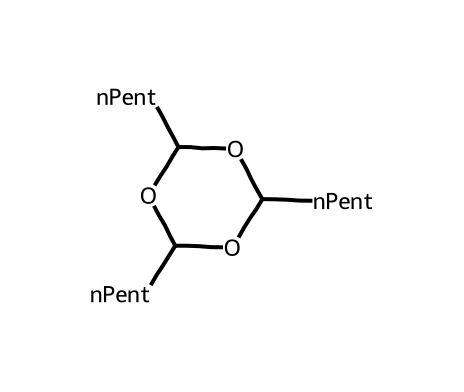 CCCCCC1OC(CCCCC)OC(CCCCC)O1